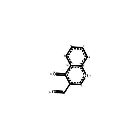 O=Cc1[c]oc2ccccc2c1=O